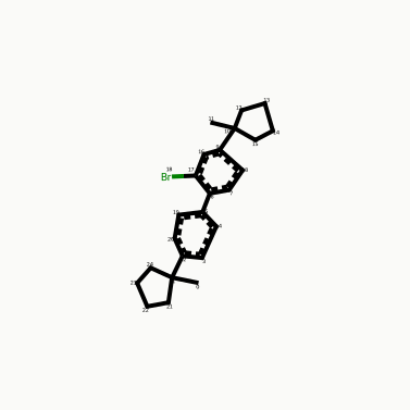 CC1(c2ccc(-c3ccc(C4(C)CCCC4)cc3Br)cc2)CCCC1